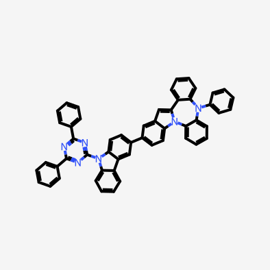 c1ccc(-c2nc(-c3ccccc3)nc(-n3c4ccccc4c4cc(-c5ccc6c(c5)cc5n6-c6ccccc6N(c6ccccc6)c6ccccc6-5)ccc43)n2)cc1